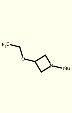 CC(C)(C)N1CC(OCC(F)(F)F)C1